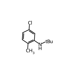 Cc1ccc(Cl)cc1NC(C)(C)C